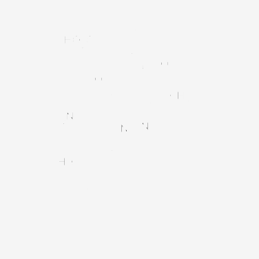 Cc1nn2c(Cc3ccccc3-c3ccc(F)cc3)c(C)c(N)c2c2c1C(=O)C(=O)C(C(=O)O)O2